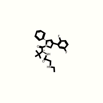 CCNCC(=O)N[C@H](C(=O)N1CC(c2cc(F)ccc2F)=C[C@H]1c1ccccc1)C(C)(C)C